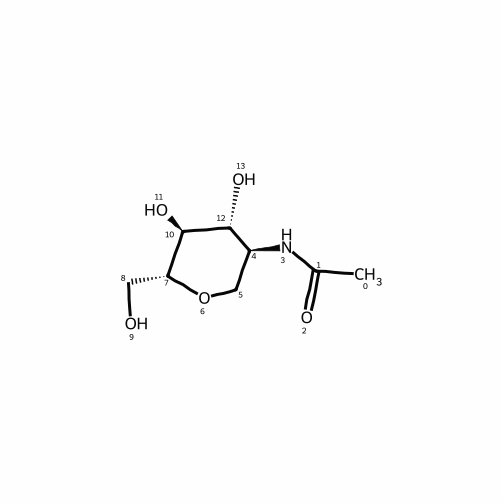 CC(=O)N[C@H]1CO[C@H](CO)[C@@H](O)[C@@H]1O